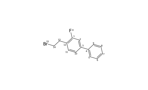 Fc1cc(-c2ccccc2)ccc1CCBr